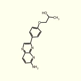 CC(O)COc1ccc(-c2cnc3ccc(N)nc3n2)cc1